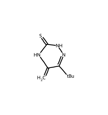 C=C1NC(=S)NN=C1C(C)(C)C